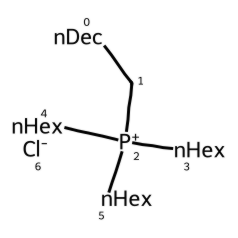 CCCCCCCCCCC[P+](CCCCCC)(CCCCCC)CCCCCC.[Cl-]